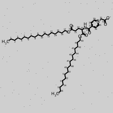 CCCCCCCCCCCCCCCCCCOC(=O)CCC(NC(=O)c1cc[n+](CC(=O)[O-])cc1)C(=O)OCCCCCCCCCCCCCCCCCC